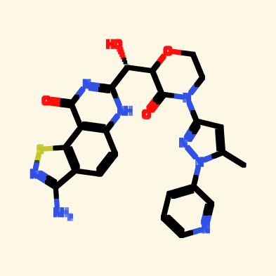 Cc1cc(N2CCOC([C@@H](O)c3nc(=O)c4c(ccc5c(N)nsc54)[nH]3)C2=O)nn1-c1cccnc1